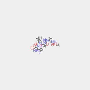 CC(C)COC(=O)NC[C@@H](NC(=O)N[C@H](C(=O)N1C[C@H]2[C@@H]([C@H]1C(=O)NC(CC1CCC1)C(=O)C(N)=O)C2(C)C)C(C)(C)C)C(C)C